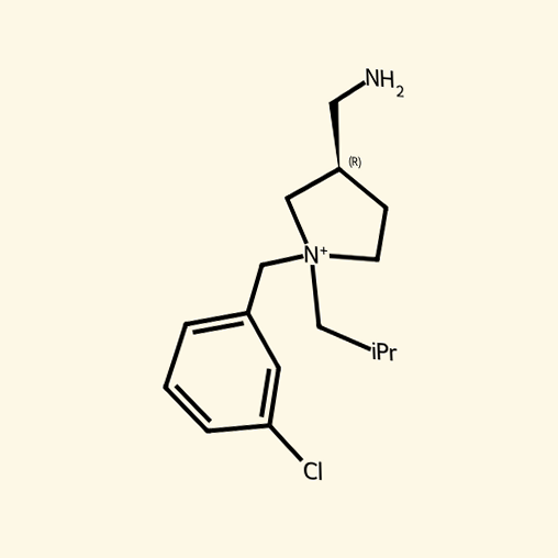 CC(C)C[N+]1(Cc2cccc(Cl)c2)CC[C@H](CN)C1